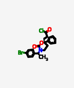 C[C@@H](c1ccc(Br)cc1)N1CC[C@](CCC(=O)Cl)(c2ccccc2)OC1=O